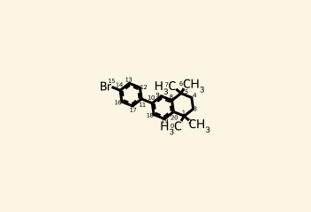 CC1(C)CCC(C)(C)c2cc(-c3ccc(Br)cc3)ccc21